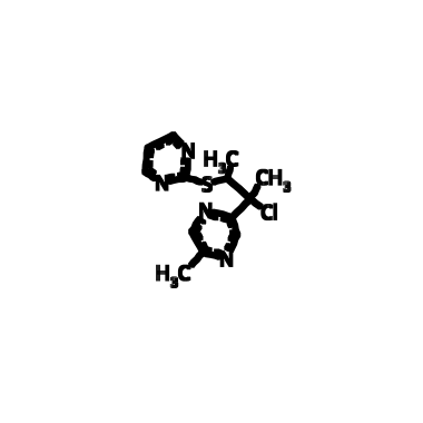 Cc1cnc(C(C)(Cl)C(C)Sc2ncccn2)cn1